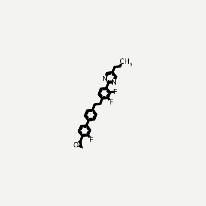 CCCc1cnc(-c2ccc(CCc3ccc(-c4ccc(C5CO5)c(F)c4)cc3)c(F)c2F)nc1